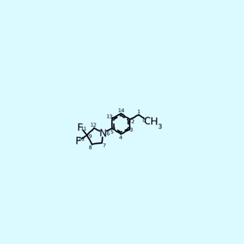 CCc1ccc(N2CCC(F)(F)C2)cc1